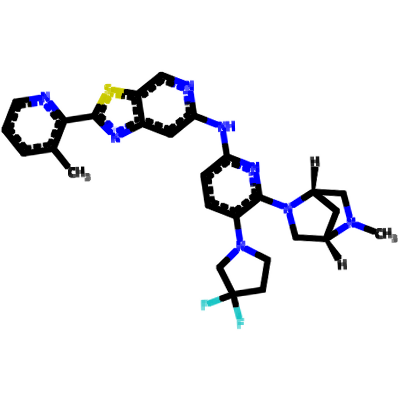 Cc1cccnc1-c1nc2cc(Nc3ccc(N4CCC(F)(F)C4)c(N4C[C@@H]5C[C@H]4CN5C)n3)ncc2s1